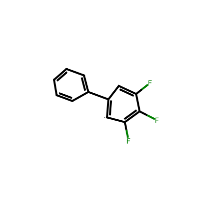 Fc1[c]c(-c2ccccc2)cc(F)c1F